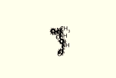 Cc1nc(NC(=O)c2ccc(NCCN3CCOCC3)nc2)nc(-c2ccccn2)n1